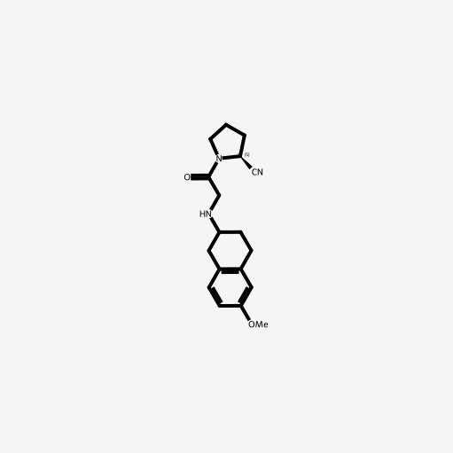 COc1ccc2c(c1)CCC(NCC(=O)N1CCC[C@H]1C#N)C2